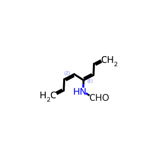 C=C/C=C\C(=C/C=C)NC=O